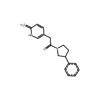 C=C1C=CC(CC(=O)N2CCC(c3ccccc3)C2)=CN1